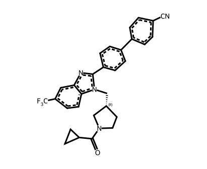 N#Cc1ccc(-c2ccc(-c3nc4cc(C(F)(F)F)ccc4n3C[C@@H]3CCN(C(=O)C4CC4)C3)cc2)cc1